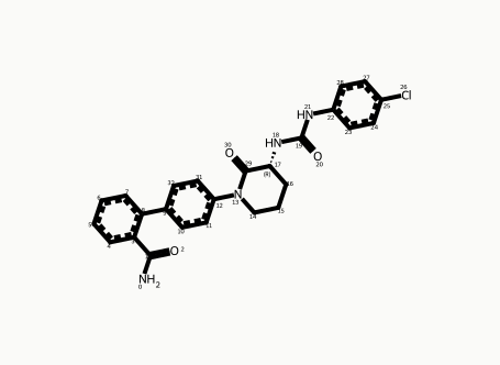 NC(=O)c1ccccc1-c1ccc(N2CCC[C@@H](NC(=O)Nc3ccc(Cl)cc3)C2=O)cc1